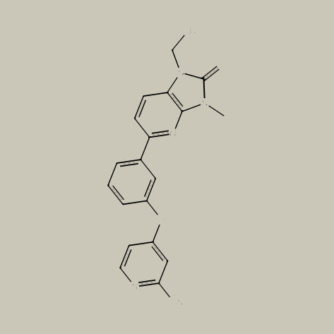 Cn1c(=O)n(CC(C)(C)C)c2ccc(-c3cccc(Oc4ccnc(C#N)c4)c3)nc21